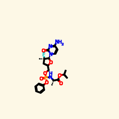 CC(C)OC(=O)[C@H](C)NP(=O)(OCC1C[C@@](C)(F)[C@H](n2ccc(N)nc2=O)O1)Oc1ccccc1